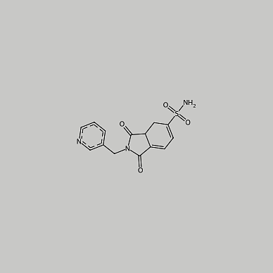 NS(=O)(=O)C1=CC=C2C(=O)N(Cc3cccnc3)C(=O)C2C1